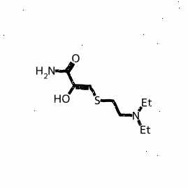 CCN(CC)CCSC=C(O)C(N)=O